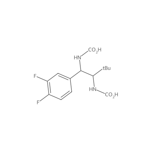 CC(C)(C)C(NC(=O)O)C(NC(=O)O)c1ccc(F)c(F)c1